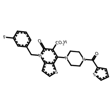 O=C(O)c1c(N2CCN(C(=O)c3cccs3)CC2)c2sccc2n(Cc2cccc(F)c2)c1=O